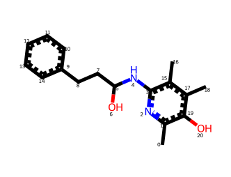 Cc1nc(NC(O)CCc2ccccc2)c(C)c(C)c1O